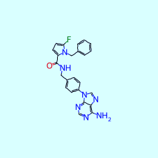 Nc1ncnc2c1ncn2-c1ccc(CNC(=O)c2ccc(F)n2Cc2ccccc2)cc1